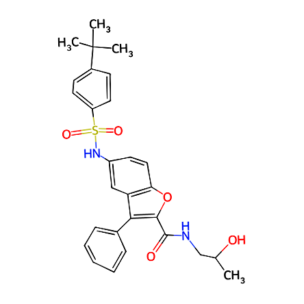 CC(O)CNC(=O)c1oc2ccc(NS(=O)(=O)c3ccc(C(C)(C)C)cc3)cc2c1-c1ccccc1